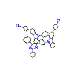 N#Cc1ccc(-c2ccc3c(c2)c2ccccc2n3-c2ccccc2-c2cc(-c3cc(-c4ccccc4)nc(-c4ccccc4)n3)ccc2-n2c3ccccc3c3cc(-c4ccc(C#N)cc4)ccc32)cc1